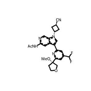 CO[C@@]1(c2cc(C(F)F)cc(-c3cn([C@H]4C[C@H](C#N)C4)c4cnc(NC(C)=O)cc34)n2)CCOC1